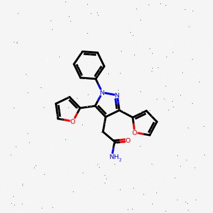 NC(=O)Cc1c(-c2ccco2)nn(-c2ccccc2)c1-c1ccco1